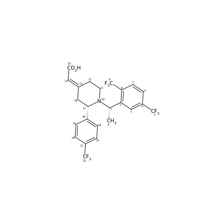 C[C@@H](c1cc(C(F)(F)F)ccc1C(F)(F)F)N1CCC(=CC(=O)O)C[C@H]1c1ccc(C(F)(F)F)cc1